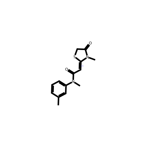 Cc1cccc(N(C)C(=O)/C=C2\SCC(=O)N2C)c1